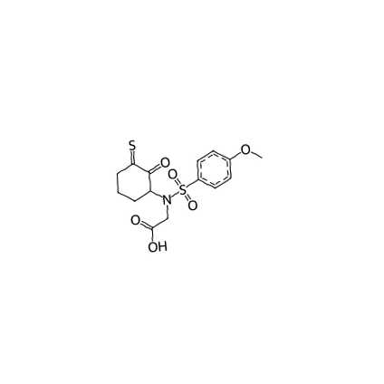 COc1ccc(S(=O)(=O)N(CC(=O)O)C2CCCC(=S)C2=O)cc1